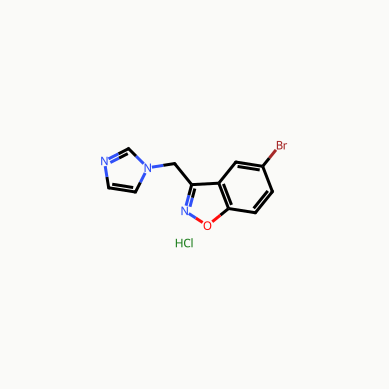 Brc1ccc2onc(Cn3ccnc3)c2c1.Cl